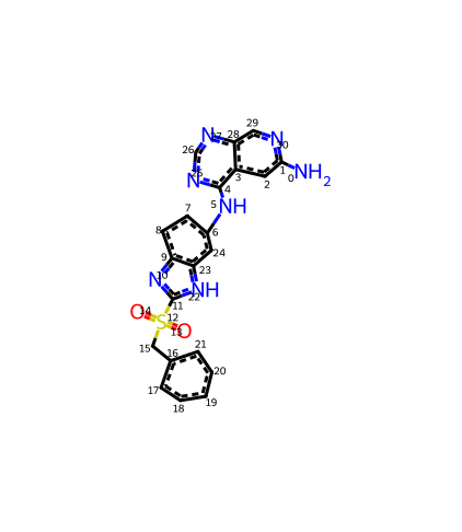 Nc1cc2c(Nc3ccc4nc(S(=O)(=O)Cc5ccccc5)[nH]c4c3)ncnc2cn1